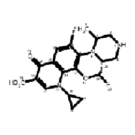 CC1CNCCN1c1c(F)cc2c(=O)c(C(=O)O)cn(C3CC3)c2c1OC(F)F